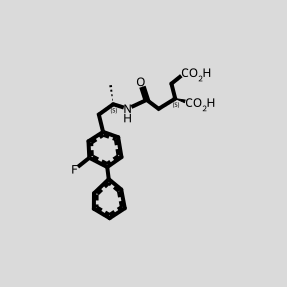 C[C@@H](Cc1ccc(-c2ccccc2)c(F)c1)NC(=O)C[C@@H](CC(=O)O)C(=O)O